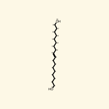 OCCCCCCCCC=CCCCCCCCCO